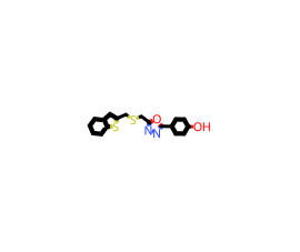 Oc1ccc(-c2nnc(CSCc3cc4ccccc4s3)o2)cc1